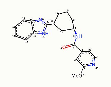 COc1cc(C(=O)N[C@@H]2CCC[C@H](c3nc4ccccc4[nH]3)C2)ccn1